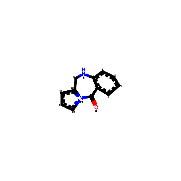 O=C1c2ccccc2NCc2cccn21